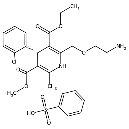 CCOC(=O)C1=C(COCCN)NC(C)=C(C(=O)OC)[C@@H]1c1ccccc1Cl.O=S(=O)(O)c1ccccc1